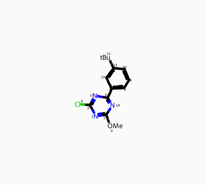 COc1nc(Cl)nc(-c2cccc(C(C)(C)C)c2)n1